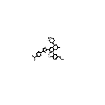 CCOc1ccc(Cl)c(-n2c(CC(C)C)c(C(=O)N3CCN[C@@H](C)C3)cc(-c3nc(-c4ccc(C(F)F)cc4)cs3)c2=O)c1